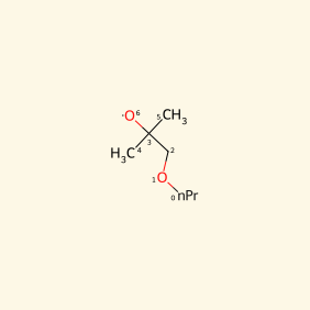 CCCOCC(C)(C)[O]